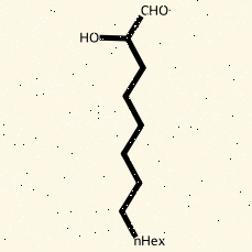 CCCCCCCCCCCCC(O)[C]=O